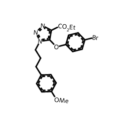 CCOC(=O)c1nnn(CCCc2ccc(OC)cc2)c1Oc1ccc(Br)cc1